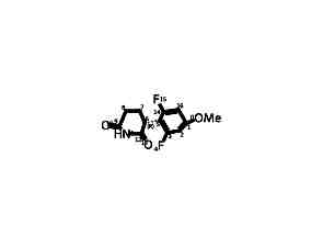 COc1cc(F)c([C@H]2CCC(=O)NC2=O)c(F)c1